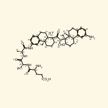 CC(C)[C@H](NC(=O)[C@@H](N)CCC(=O)O)C(=O)N[C@@H](C)C(=O)Nc1ccc2c(c1)[C@@]1(C)CCC[C@](C)(C(=O)N(C=O)[C@@]3(C)CCC[C@]4(C)c5cc(N)ccc5CC[C@@H]34)[C@@H]1CC2